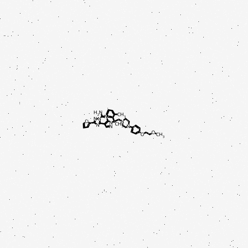 COCCOc1ccc(N2CCN(CC(C)(c3ccccc3C)n3ncc4c3nc(N)n3nc(-c5ccco5)nc43)CC2)cc1